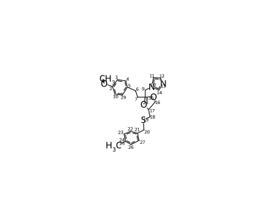 COc1ccc(CCC2(Cn3ccnc3)OCC(CSCc3ccc(C)cc3)O2)cc1